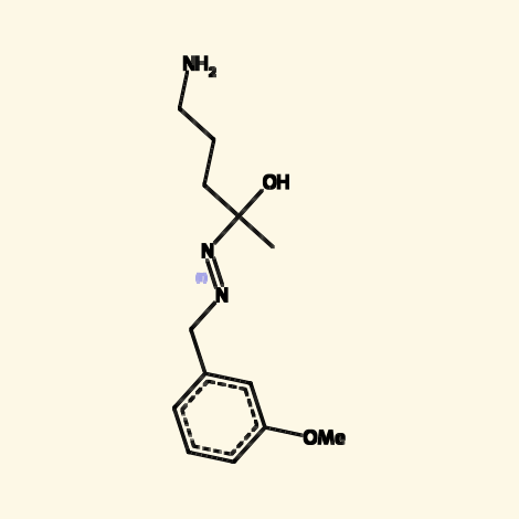 COc1cccc(C/N=N/C(C)(O)CCCN)c1